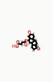 C[C@]12CCC(=O)C=C1[C@H](OC(=O)CCC(=O)O)CC1C2CC[C@]2(C)C(=O)CCC12